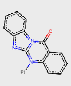 CCn1c2ccccc2c(=O)n2c3ccccc3nc12